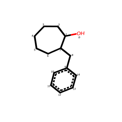 OC1CCCCCC1Cc1ccccc1